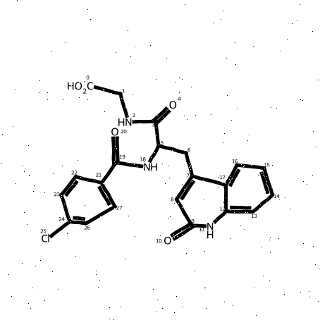 O=C(O)CNC(=O)C(Cc1cc(=O)[nH]c2ccccc12)NC(=O)c1ccc(Cl)cc1